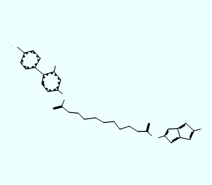 N#Cc1ccc(-c2ccc(OC(=O)CCCCCCCCCC(=O)OC3=CC4=CC(F)=CC4=C3)cc2F)cc1